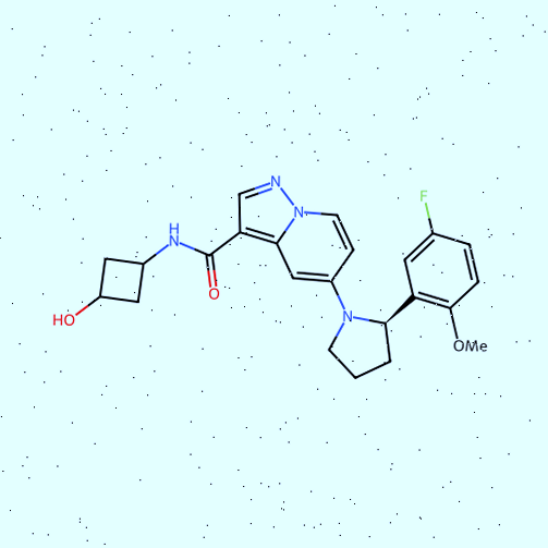 COc1ccc(F)cc1[C@H]1CCCN1c1ccn2ncc(C(=O)NC3CC(O)C3)c2c1